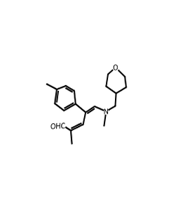 C/C(C=O)=C/C(=C\N(C)CC1CCOCC1)c1ccc(C)cc1